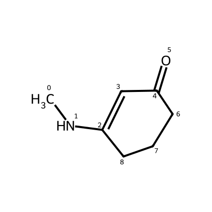 CNC1=CC(=O)CCC1